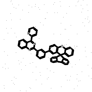 c1ccc(-c2nc(-c3cccc(-c4ccc5c(c4)C4(c6ccccc6O5)c5ccccc5-c5ccccc54)c3)nc3ccccc23)nc1